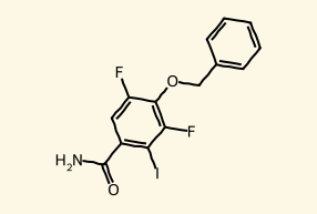 NC(=O)c1cc(F)c(OCc2ccccc2)c(F)c1I